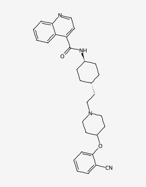 N#Cc1ccccc1OC1CCN(CC[C@H]2CC[C@H](NC(=O)c3ccnc4ccccc34)CC2)CC1